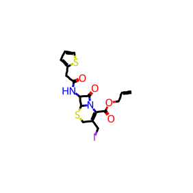 C=CCOC(=O)C1=C(CI)CSC2C(NC(=O)Cc3cccs3)C(=O)N12